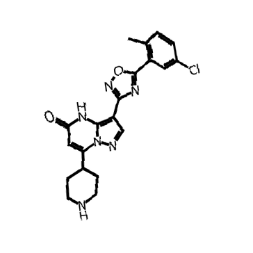 Cc1ccc(Cl)cc1-c1nc(-c2cnn3c(C4CCNCC4)cc(=O)[nH]c23)no1